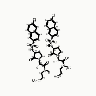 CCN(CCO)C(=O)[C@H](C)N1CC[C@H](NS(=O)(=O)c2ccc3cc(Cl)ccc3c2)C1=O.COCCN(C)C(=O)[C@H](C)N1CC[C@H](NS(=O)(=O)c2ccc3cc(Cl)ccc3c2)C1=O